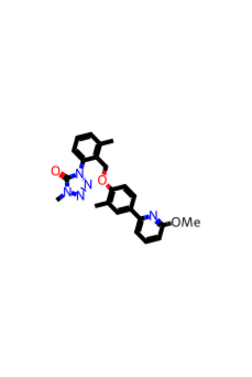 COc1cccc(-c2ccc(OCc3c(C)cccc3-n3nnn(C)c3=O)c(C)c2)n1